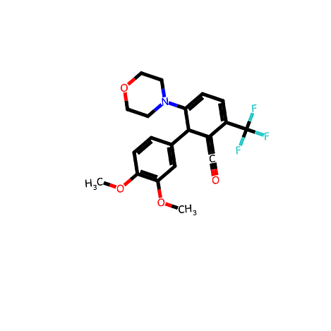 COc1ccc(C2C(=C=O)C(C(F)(F)F)=CC=C2N2CCOCC2)cc1OC